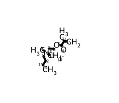 C=C(C)C(=O)OCC[N+](C)(C)CCCC.[I-]